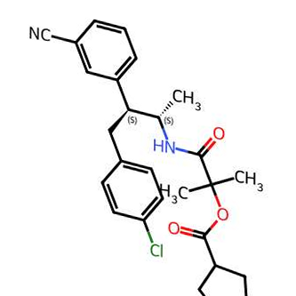 C[C@H](NC(=O)C(C)(C)OC(=O)C1CCCC1)[C@@H](Cc1ccc(Cl)cc1)c1cccc(C#N)c1